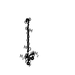 CC(C)(C)C(c1cc(-c2cc(F)ccc2F)cn1Cc1ccccc1)N(CCCOC(N)=O)C(=O)CSCCC(=O)NCCOCCOCCOCCOCCNC(=O)CCCCCN1C(=O)C=CC1=O